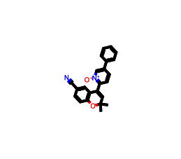 CC1(C)C=C(c2ccc(-c3ccccc3)c[n+]2[O-])c2cc(C#N)ccc2O1